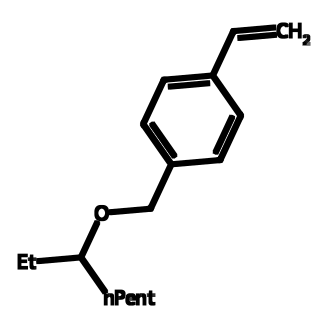 C=Cc1ccc(COC(CC)CCCCC)cc1